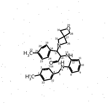 Cc1ccc(CNc2ccccc2NC(C=O)C(c2ccc(C)cc2)N2CC3(COC3)C2)cc1